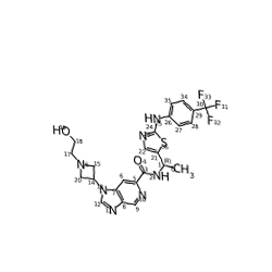 C[C@@H](NC(=O)c1cc2c(cn1)ncn2C1CN(CCO)C1)c1cnc(Nc2ccc(C(F)(F)F)cc2)s1